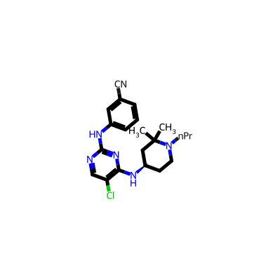 CCCN1CC[C@@H](Nc2nc(Nc3cccc(C#N)c3)ncc2Cl)CC1(C)C